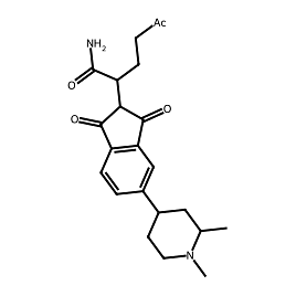 CC(=O)CCC(C(N)=O)C1C(=O)c2ccc(C3CCN(C)C(C)C3)cc2C1=O